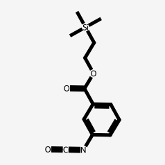 C[Si](C)(C)CCOC(=O)c1cccc(N=C=O)c1